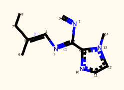 C=N/C(=N\C=C(/C)CC)c1nccn1C